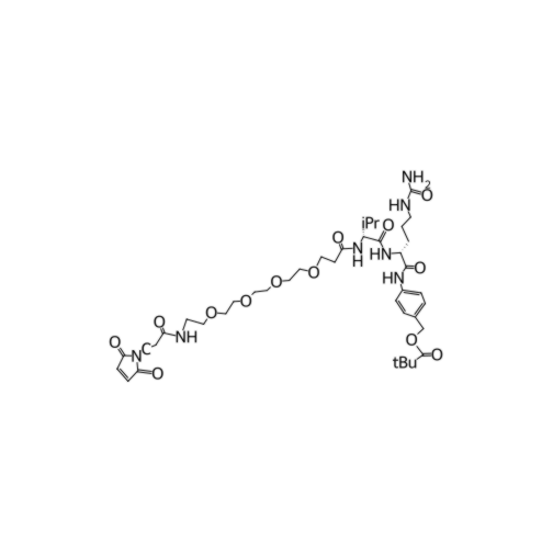 CC(C)[C@@H](NC(=O)CCOCCOCCOCCOCCNC(=O)CCN1C(=O)C=CC1=O)C(=O)N[C@H](CCCNC(N)=O)C(=O)Nc1ccc(COC(=O)C(C)(C)C)cc1